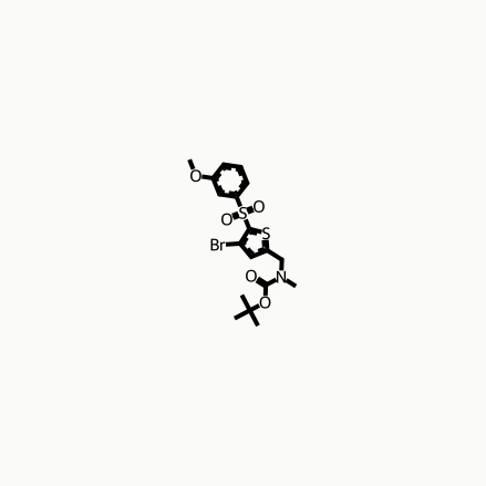 COc1cccc(S(=O)(=O)c2sc(CN(C)C(=O)OC(C)(C)C)cc2Br)c1